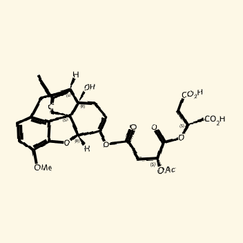 COc1ccc2c3c1O[C@H]1C(OC(=O)C[C@H](OC(C)=O)C(=O)O[C@@H](CC(=O)O)C(=O)O)=CC[C@@]4(O)[C@@H](C2)C(C)CC[C@]314